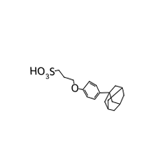 O=S(=O)(O)CCCOc1ccc(C23CC4CC(CC(C4)C2)C3)cc1